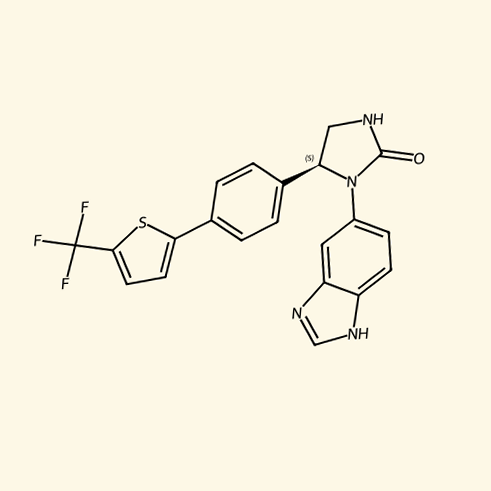 O=C1NC[C@H](c2ccc(-c3ccc(C(F)(F)F)s3)cc2)N1c1ccc2[nH]cnc2c1